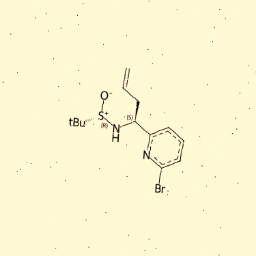 C=CC[C@H](N[S@@+]([O-])C(C)(C)C)c1cccc(Br)n1